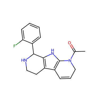 CC(=O)N1CC=Cc2c1[nH]c1c2CCNC1c1ccccc1F